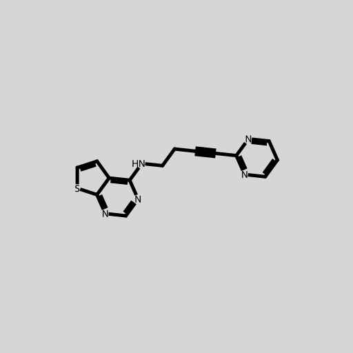 C(#Cc1ncccn1)CCNc1ncnc2sccc12